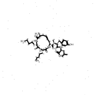 CC(C)C[C@H](NC(=O)[C@H](Cc1ccc(O)cc1)N(C)C(=O)[C@@H]1C/C=C/C[C@H](N)C(=O)N[C@@H](CCCCN)C(=O)N[C@@H](CCCCN)C(=O)N1)C(=O)O